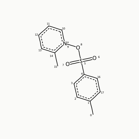 Cc1ccc(S(=O)(=O)O[n+]2ccccc2C)cc1